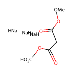 COOC(=O)CC(=O)OC(=O)O.[NaH].[NaH].[NaH]